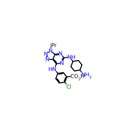 CC(C)n1nnc2c(Nc3ccc(Cl)c(C(=O)O)c3)nc(NC3CCC(N)CC3)nc21